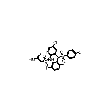 O=C(O)CS(=O)(=O)Nc1ncc(Cl)cc1C(c1cc(F)ccc1F)S(=O)(=O)c1ccc(Cl)cc1